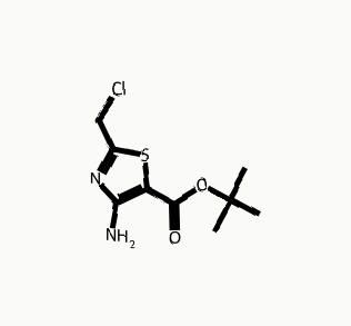 CC(C)(C)OC(=O)c1sc(CCl)nc1N